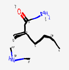 C=C(CCC)C(N)=O.CNC